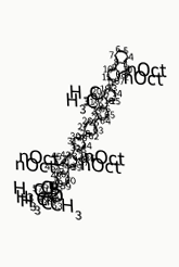 CCCCCCCCC1(CCCCCCCC)c2ccccc2-c2ccc(-c3ccc4c(c3)C(C)(C)c3cc(-c5ccc(-c6ccc7c(c6)C(CCCCCCCC)(CCCCCCCC)c6cc8c(cc6-7)C(CCCCCCCC)(CCCCCCCC)c6cc(B7OC(C)(C)C(C)(C)O7)ccc6-8)cc5)ccc3-4)cc21